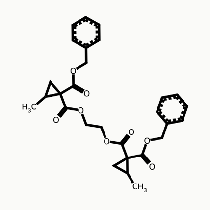 CC1CC1(C(=O)OCCOC(=O)C1(C(=O)OCc2ccccc2)CC1C)C(=O)OCc1ccccc1